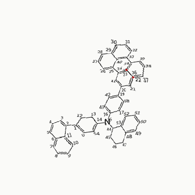 C1=C(c2cccc3ccccc23)CCC(N(c2ccc(-c3cccc(-c4cccc5cccc(-c6ccccc6)c45)c3)cc2)C2CCCc3ccccc32)=C1